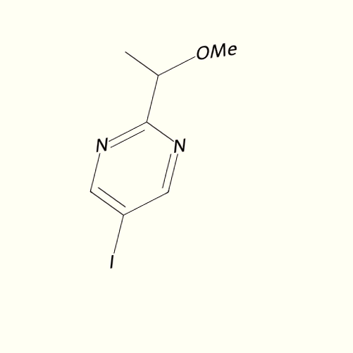 COC(C)c1ncc(I)cn1